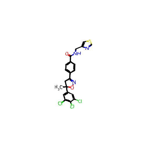 CC1(c2cc(Cl)c(Cl)c(Cl)c2)CC(c2ccc(C(=O)NCc3cscn3)cc2)=NO1